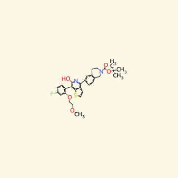 COCCOc1cc(F)ccc1-c1c(O)nc(-c2ccc3c(c2)CCN(C(=O)OC(C)(C)C)C3)c2ccsc12